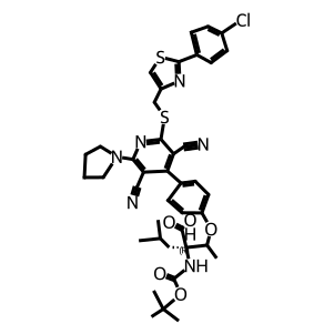 CC(C)C[C@](NC(=O)OC(C)(C)C)(C(=O)O)C(C)Oc1ccc(-c2c(C#N)c(SCc3csc(-c4ccc(Cl)cc4)n3)nc(N3CCCC3)c2C#N)cc1